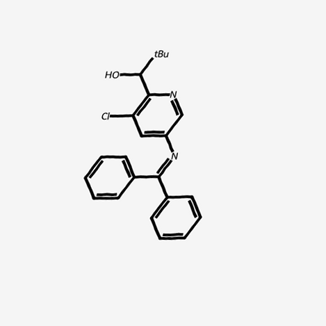 CC(C)(C)C(O)c1ncc(N=C(c2ccccc2)c2ccccc2)cc1Cl